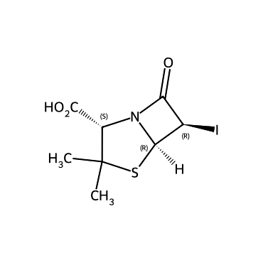 CC1(C)S[C@@H]2[C@H](I)C(=O)N2[C@H]1C(=O)O